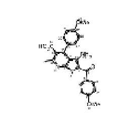 COc1ccc(C(=O)c2sc3nc(C)c(C(=O)O)c(-c4ccc(OC)cc4)c3c2N)cc1